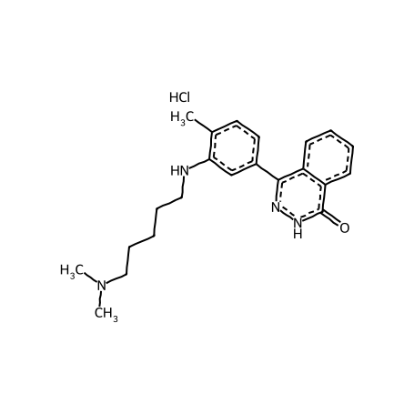 Cc1ccc(-c2n[nH]c(=O)c3ccccc23)cc1NCCCCCN(C)C.Cl